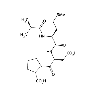 CSCC[C@H](NC(=O)[C@H](C)N)C(=O)N[C@@H](CC(=O)O)C(=O)N1CCC[C@H]1C(=O)O